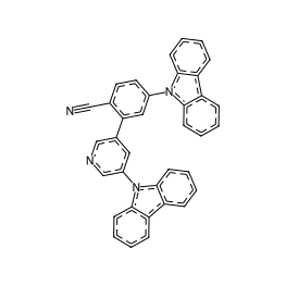 N#Cc1ccc(-n2c3ccccc3c3ccccc32)cc1-c1cncc(-n2c3ccccc3c3ccccc32)c1